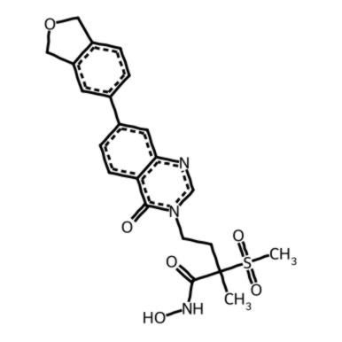 CC(CCn1cnc2cc(-c3ccc4c(c3)COC4)ccc2c1=O)(C(=O)NO)S(C)(=O)=O